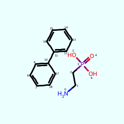 NCCP(=O)(O)O.c1ccc(-c2ccccc2)cc1